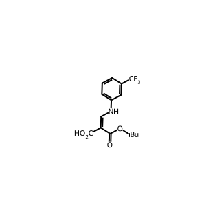 CCC(C)OC(=O)C(=CNc1cccc(C(F)(F)F)c1)C(=O)O